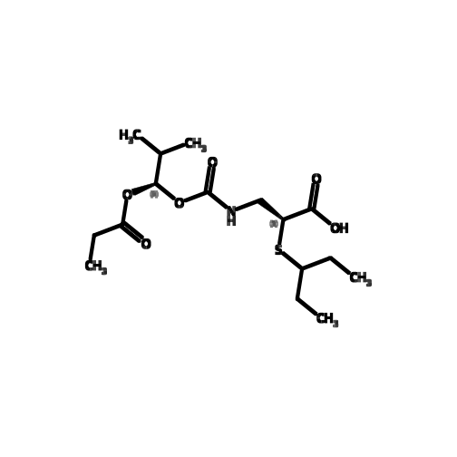 CCC(=O)O[C@H](OC(=O)NC[C@H](SC(CC)CC)C(=O)O)C(C)C